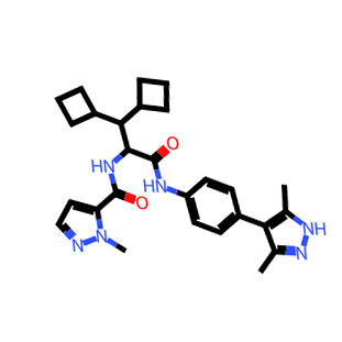 Cc1n[nH]c(C)c1-c1ccc(NC(=O)C(NC(=O)c2ccnn2C)C(C2CCC2)C2CCC2)cc1